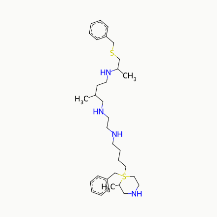 CC(CCNC(C)CSCc1ccccc1)CNCCNCCCCS1(Cc2ccccc2)CCNCC1C